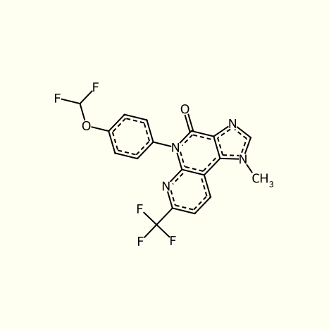 Cn1cnc2c(=O)n(-c3ccc(OC(F)F)cc3)c3nc(C(F)(F)F)ccc3c21